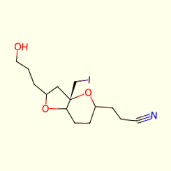 N#CCCC1CCC2OC(CCCO)C[C@]2(CI)O1